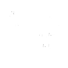 CC1(C)CS[C@@H](CCCCC(N)=O)[C@H]1NC(N)=O